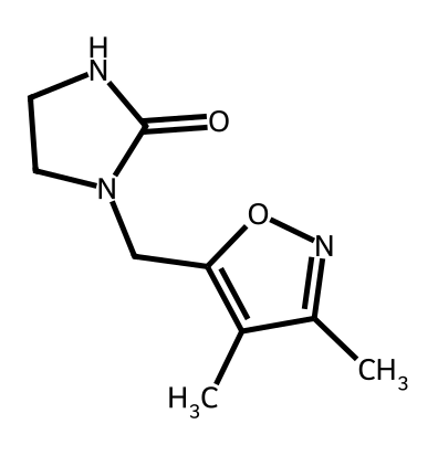 Cc1noc(CN2CCNC2=O)c1C